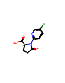 O=C(O)[C@@H]1CCC(=O)N1c1ccc(Cl)cn1